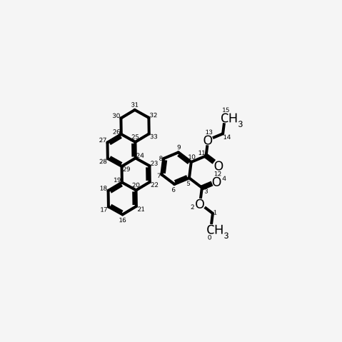 CCOC(=O)c1ccccc1C(=O)OCC.c1ccc2c(c1)ccc1c3c(ccc12)CCCC3